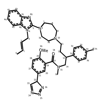 CC=CCn1c(N2CCCN(CCC(CN(C)C(=O)c3cc(C4C=NN=N4)ccc3OC)c3ccc(F)cc3)CC2)nc2ccccc21